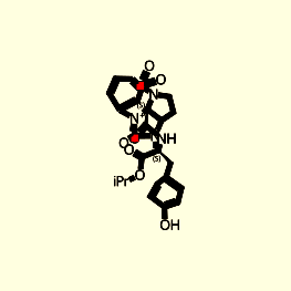 CC(C)OC(=O)[C@H](Cc1ccc(O)cc1)NC(=O)[C@]12C3CCN1S(=O)(=O)c1ccc(cc1)[N+]2(C)C(=O)N3C